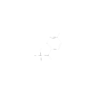 Cc1ccc(C(=O)C(F)(Br)Br)cc1